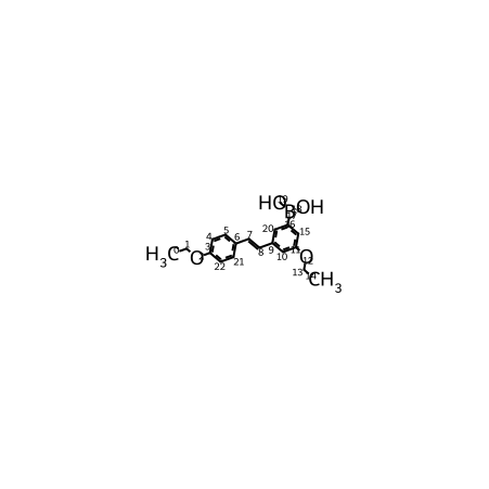 CCOc1ccc(/C=C/c2cc(OCC)cc(B(O)O)c2)cc1